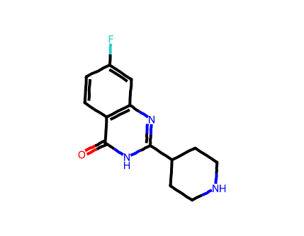 O=c1[nH]c(C2CCNCC2)nc2cc(F)ccc12